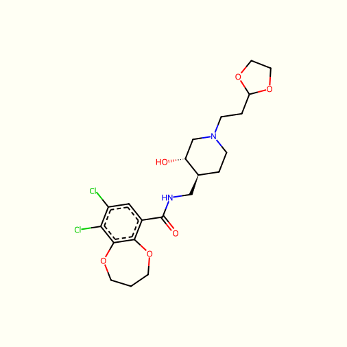 O=C(NC[C@@H]1CCN(CCC2OCCO2)C[C@H]1O)c1cc(Cl)c(Cl)c2c1OCCCO2